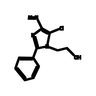 CNc1nc(-c2ccccc2)n(CCO)c1Cl